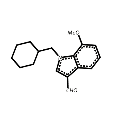 COc1cccc2c(C=O)cn(CC3CCCCC3)c12